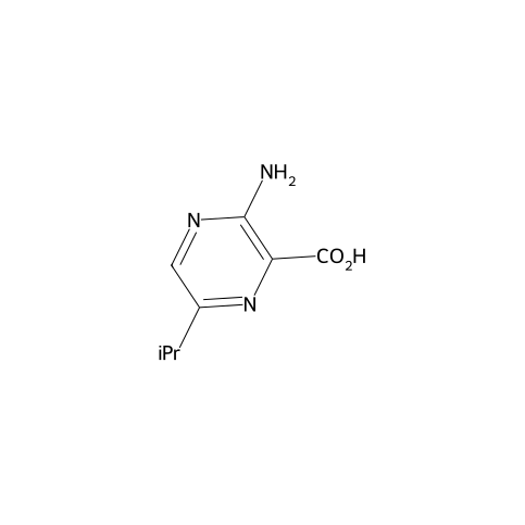 CC(C)c1cnc(N)c(C(=O)O)n1